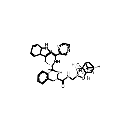 CC1(C)C2C[C@H]1C[C@H]1OB(CNC(=O)[C@H](Cc3ccccc3)NC(=O)[C@H](CC3=CNC4C=CC=CC34)NC(=O)c3cnccn3)O[C@@]21C